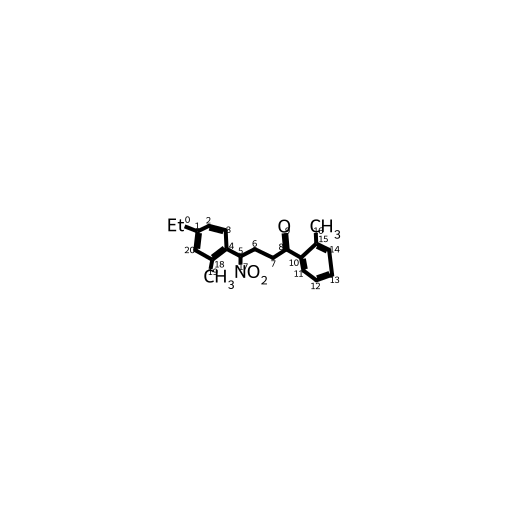 CCc1ccc(C(CCC(=O)c2ccccc2C)[N+](=O)[O-])c(C)c1